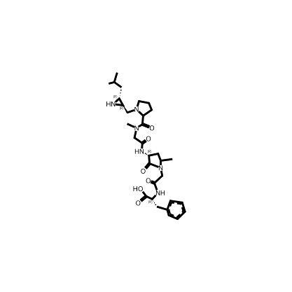 CC(C)C[C@H]1N[C@@H]1CN1CCCC1C(=O)N(C)CC(=O)N[C@@H]1CC(C)N(CC(=O)N[C@H](Cc2ccccc2)C(=O)O)C1=O